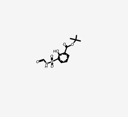 CC(C)(C)OC(=O)c1cccc(S(=O)(=O)NC=O)c1O